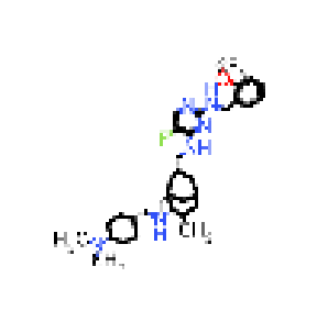 C[C@@H]1CC2C[C@@H](CNc3nc(NCc4ccccc4OC(F)(F)F)ncc3F)C[C@@H](C2)[C@H]1NC[C@H]1CC[C@H](N(C)C)CC1